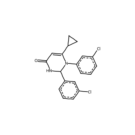 O=C1C=C(C2CC2)N(c2cccc(Cl)c2)C(c2cccc(Cl)c2)N1